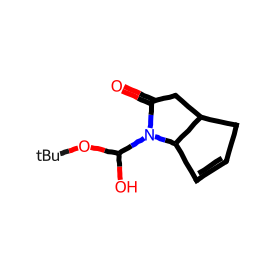 CC(C)(C)OC(O)N1C(=O)CC2CC=CC21